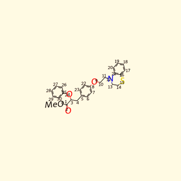 COC(=O)C(Cc1ccc(OCCN2CCSc3ccccc32)cc1)Oc1ccccc1